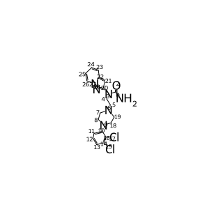 NC(=O)N(CCN1CCN(c2cccc(Cl)c2Cl)CC1)c1cc2ccccn2n1